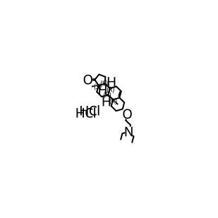 CCN(CC)CCOC1CC[C@@]2(C)C(=CC[C@@H]3[C@H]2CC[C@]2(C)C(=O)CC[C@@H]32)C1.Cl.Cl